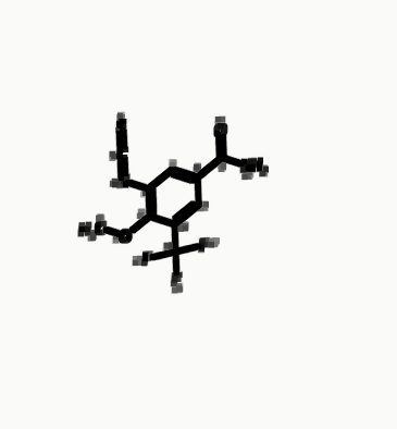 COc1c(N=C=S)cc(C(N)=O)cc1C(F)(F)F